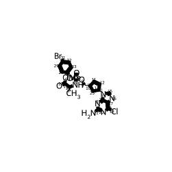 COC(=O)[C@H](C)NP(=O)(OC[C@@H]1C=C[C@H](n2cnc3c(Cl)nc(N)nc32)C1)Oc1ccc(Br)cc1